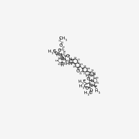 CCCOCCC[C@H](NC(=O)OC)C(=O)N1[C@H](c2nc3ccc4cc5c(cc4c3[nH]2)OCc2cc(-c3cnc([C@@H]4CC[C@H](CC)N4C(=O)[C@@H](NC(=O)OC)C(C)C)[nH]3)ccc2-5)C[C@@H]2CCC[C@@H]21